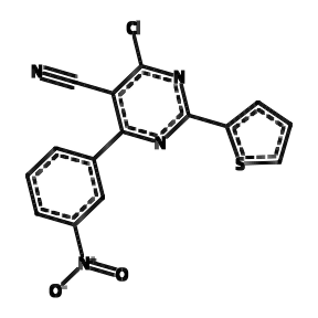 N#Cc1c(Cl)nc(-c2cccs2)nc1-c1cccc([N+](=O)[O-])c1